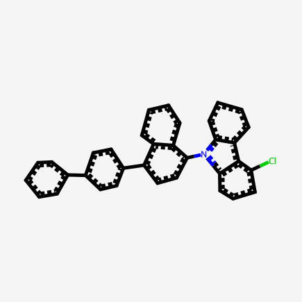 Clc1cccc2c1c1ccccc1n2-c1ccc(-c2ccc(-c3ccccc3)cc2)c2ccccc12